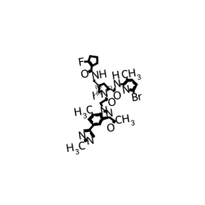 CC(=O)c1nn(CC(=O)N2[C@H](I)[C@@H](CNC(=O)C3=C(F)CCC3)C[C@H]2C(=O)Nc2nc(Br)ccc2C)c2c(C)cc(-c3cnc(C)nc3)cc12